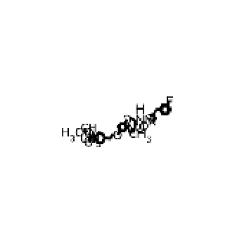 CN1C(=O)[C@@H](NC(=O)n2cc(Cc3cccc(F)c3)cn2)COc2ccc(OCCC3CCN(C(=O)OC(C)(C)C)CC3)cc21